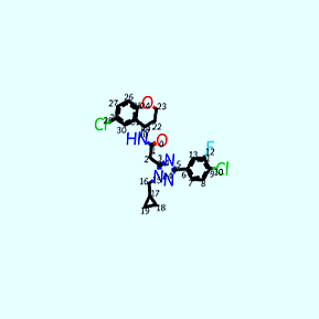 O=C(Cc1nc(-c2ccc(Cl)c(F)c2)nn1CC1CC1)N[C@H]1CCOc2ccc(Cl)cc21